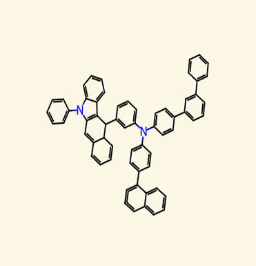 C1=C=C(c2ccc(N(c3ccc(-c4cccc(-c5ccccc5)c4)cc3)c3cccc(C4c5c(n(-c6ccccc6)c6ccccc56)C=C5C=CC=CC54)c3)cc2)c2ccccc2C=1